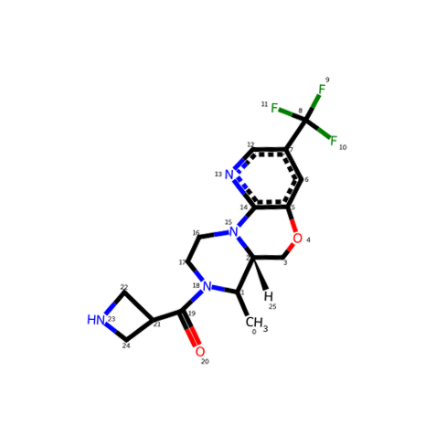 CC1[C@H]2COc3cc(C(F)(F)F)cnc3N2CCN1C(=O)C1CNC1